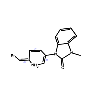 C\C=C(/C=C\C(N)=C/CC)n1c(=O)n(C)c2ccccc21